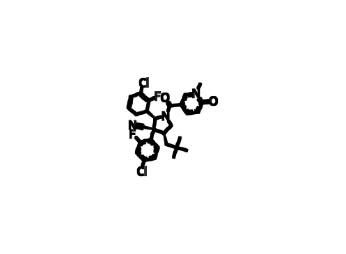 Cn1cc(C(=O)N2C[C@@H](CC(C)(C)C)[C@](C#N)(c3ccc(Cl)cc3F)[C@H]2C2CC=CC(Cl)=C2F)ccc1=O